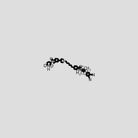 CC1(C)[C@H](NC(=O)c2ccc(CCCCCCN3CC=C(c4ccc5c(c4)CN(C4CCC(=O)NC4=O)C5=O)CC3)cc2)C(C)(C)[C@H]1Oc1ccc(C#N)c(C#N)c1